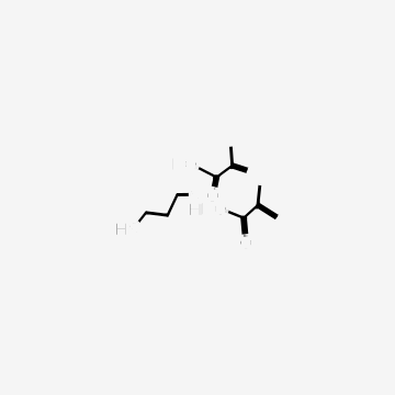 C=C(C)C(=O)O.C=C(C)C(=O)O.SCCCS